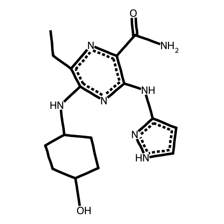 CCc1nc(C(N)=O)c(Nc2cc[nH]n2)nc1NC1CCC(O)CC1